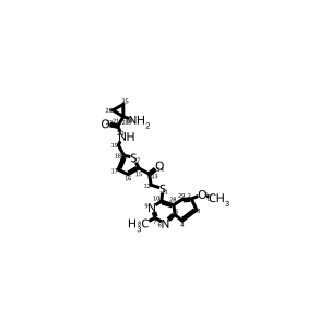 COc1ccc2nc(C)nc(SCC(=O)c3ccc(CNC(=O)C4(N)CC4)s3)c2c1